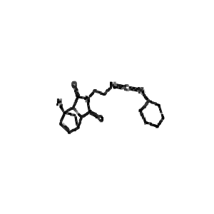 O=C1C2C3C=C[C@@H](C3)C2C(=O)N1CCN=C=NC1CCCCC1